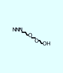 [N-]=[N+]=NCCCOCCOCCO